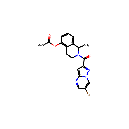 COC(=O)Oc1cccc2c1CCN(C(=O)c1cc3ncc(Br)cn3n1)C2C